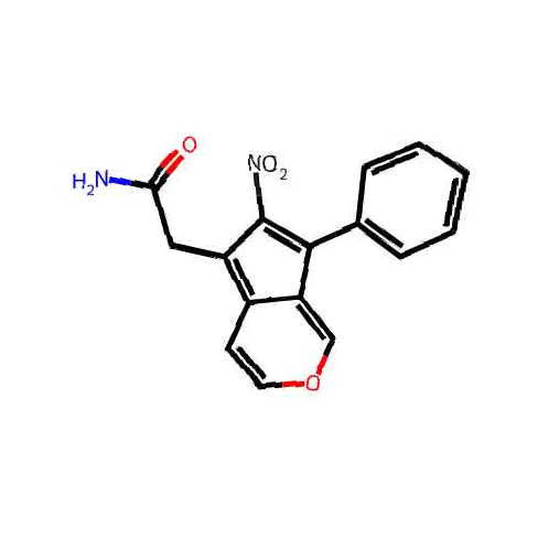 NC(=O)Cc1c2ccocc-2c(-c2ccccc2)c1[N+](=O)[O-]